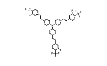 Cc1ccc(/C=C/c2ccc(N(c3ccc(/C=C/c4ccc(C(F)(F)F)c(F)c4)cc3)c3ccc(/C=C/c4ccc(C(F)(F)F)c(F)c4)cc3)cc2)cc1F